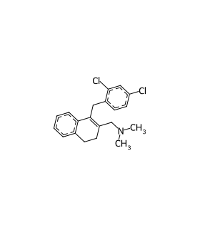 CN(C)CC1=C(Cc2ccc(Cl)cc2Cl)c2ccccc2CC1